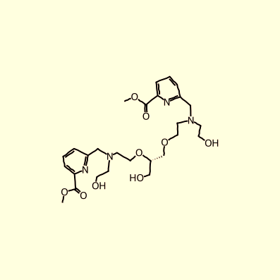 COC(=O)c1cccc(CN(CCO)CCOC[C@H](CO)OCCN(CCO)Cc2cccc(C(=O)OC)n2)n1